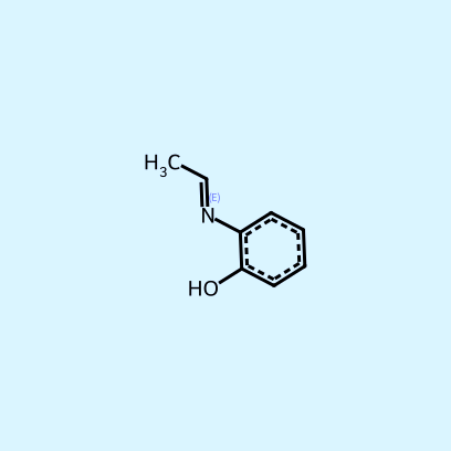 C/C=N/c1ccccc1O